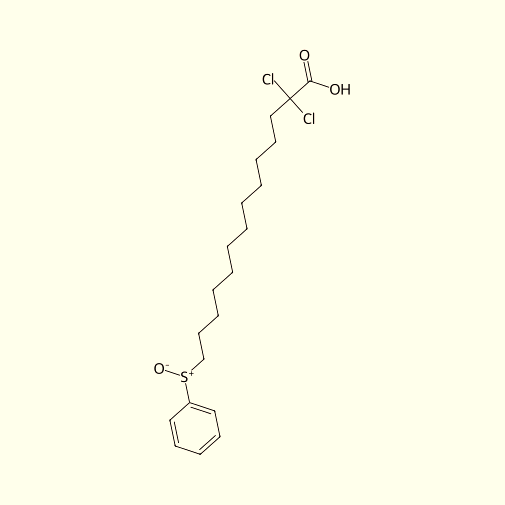 O=C(O)C(Cl)(Cl)CCCCCCCCCCCC[S+]([O-])c1ccccc1